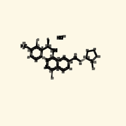 Cc1c([C@@H](C)Nc2nnc(C)c3ccc(OC[C@@H]4CCCN4C)cc23)cccc1C(F)(F)F.Cl